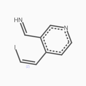 N=Cc1cnccc1/C=C\I